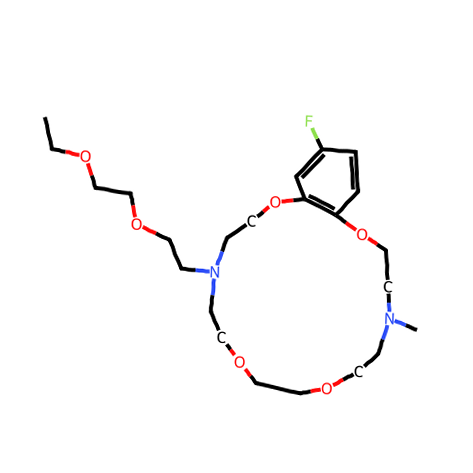 CCOCCOCCN1CCOCCOCCN(C)CCOc2ccc(F)cc2OCC1